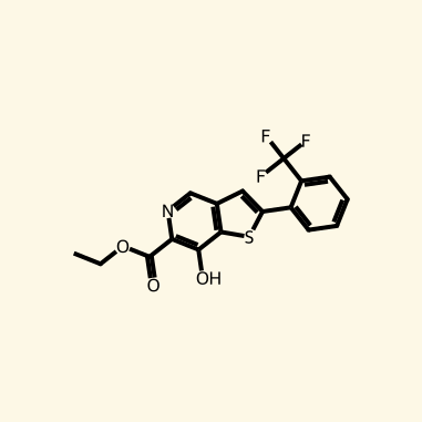 CCOC(=O)c1ncc2cc(-c3ccccc3C(F)(F)F)sc2c1O